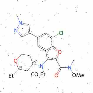 CCOC(=O)N(c1c(C(=O)N(C)OC)oc2c(Cl)cc(-c3cnn(C)c3)cc12)[C@H]1CCO[C@@H](CC)C1